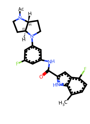 CC(=O)N1CC[C@H]2[C@H]1CCN2c1cc(F)cc(NC(=O)c2cc3c(F)ccc(C)c3[nH]2)c1